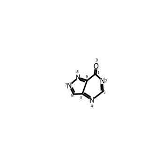 O=C1N=CN=C2[C]=NN=C12